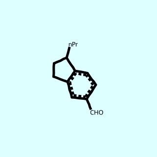 CCCC1CCc2cc(C=O)ccc21